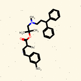 CC(=O)C(/C=C\c1cccc([N+](=O)[O-])c1)C(=O)OC(C)(C)CN(C)CCC(c1ccccc1)c1ccccc1